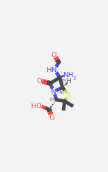 CC1(C)S[C@H]2N(C(=O)[C@]2(N)NC=O)[C@H]1C(=O)O